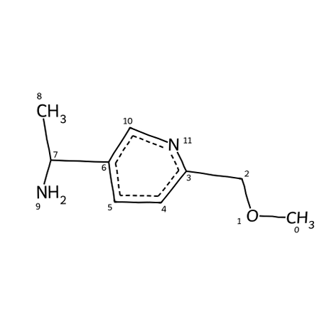 COCc1ccc(C(C)N)cn1